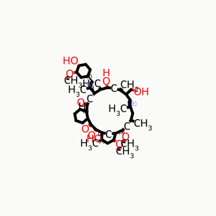 C=C1CC(O)C(C)C(/C(C)=C/[C@@H]2CCC(O)C(OC)C2)CC(=O)[C@@H]2CCCCC2C(=O)C(=O)[C@]2(O)CC(C(OC)C[C@H]2C)[C@@H](OC)CC(C)C/C(C)=C/C1CO